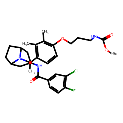 Cc1c(OCCCNC(=O)OC(C)(C)C)ccc(C(C)N2C3CCC2CC(NC(=O)c2ccc(F)c(Cl)c2)C3)c1C